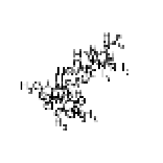 COC(=O)C(CC(C)C)NP(=O)(NC(CC(C)C)C(=O)OC)OC[C@H]1OC2(C)[C@@H](n3cnc4c(NC5CC5)nc(N)nc43)C2(O)C1O